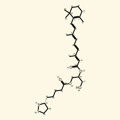 CC1=C(/C=C/C(C)=C/C=C/C(C)=C/C(=O)OC(CO)COC(=O)CCCC[C@@H]2CCSS2)C(C)(C)CCC1